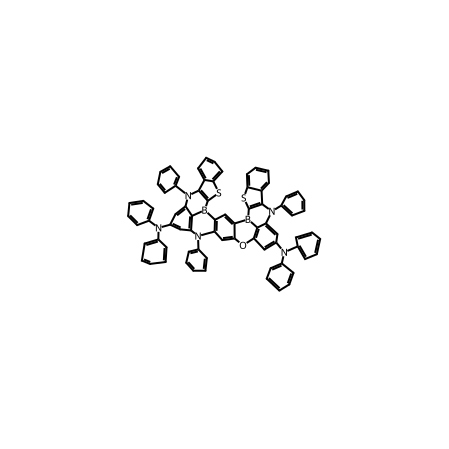 c1ccc(N(c2ccccc2)c2cc3c4c(c2)N(c2ccccc2)c2c(sc5ccccc25)B4c2cc4c(cc2O3)N(c2ccccc2)c2cc(N(c3ccccc3)c3ccccc3)cc3c2B4c2sc4ccccc4c2N3c2ccccc2)cc1